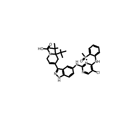 CC(C)(C)C1(C(C)(C)C)CC(c2n[nH]c3ccc(Nc4ncc(Cl)c(Nc5ccccc5P(C)(C)=O)n4)cc23)=CCN1C(=O)O